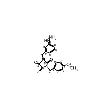 COc1ccc(CN2C(=O)C(=O)N(Cc3cccc(NN)c3)C2=O)cc1